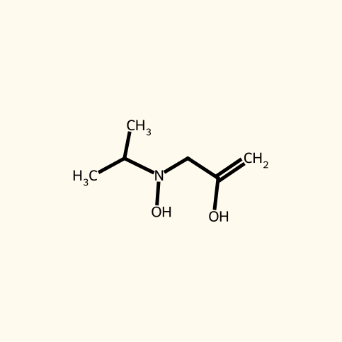 C=C(O)CN(O)C(C)C